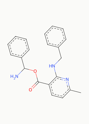 Cc1ccc(C(=O)OC(N)c2ccccc2)c(NCc2ccccc2)n1